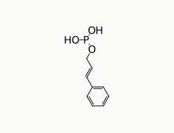 OP(O)OCC=Cc1ccccc1